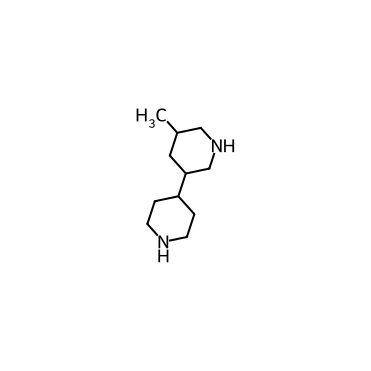 CC1CNCC(C2CCNCC2)C1